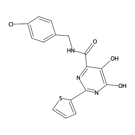 O=C(NCc1ccc(Cl)cc1)c1nc(-c2cccs2)nc(O)c1O